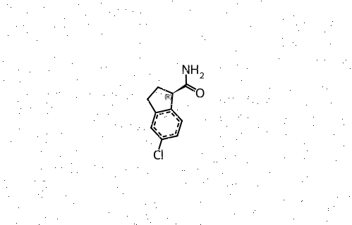 NC(=O)[C@@H]1CCc2cc(Cl)ccc21